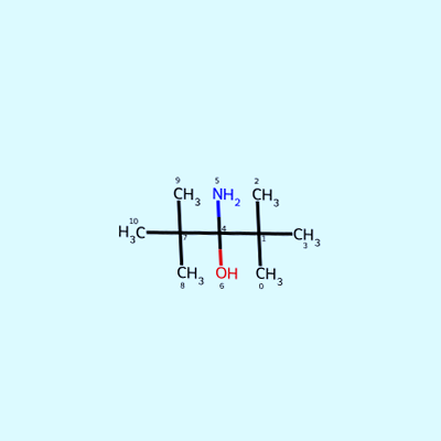 CC(C)(C)C(N)(O)C(C)(C)C